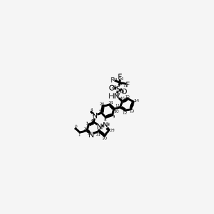 CCc1cc(N(C)c2ccc(-c3ccccc3NS(=O)(=O)C(F)(F)F)cc2)n2nccc2n1